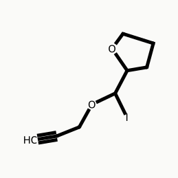 C#CCOC(I)C1CCCO1